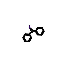 I[Si](c1ccccc1)c1ccccc1